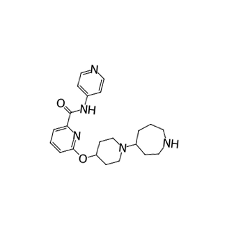 O=C(Nc1ccncc1)c1cccc(OC2CCN(C3CCCNCC3)CC2)n1